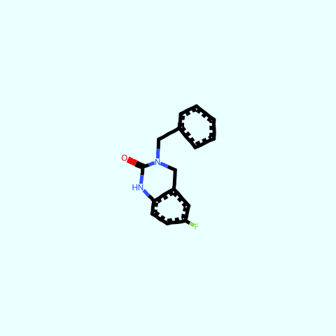 O=C1Nc2ccc(F)cc2CN1Cc1ccccc1